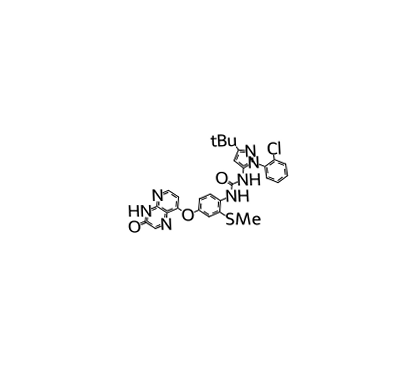 CSc1cc(Oc2ccnc3[nH]c(=O)cnc23)ccc1NC(=O)Nc1cc(C(C)(C)C)nn1-c1ccccc1Cl